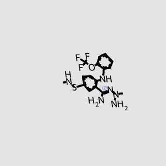 CNSc1ccc(Nc2ccccc2OC(F)(F)F)c(/C(N)=N/N(C)N)c1